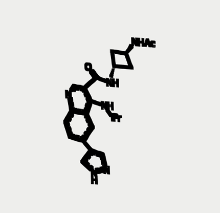 CC(=O)N[C@H]1C[C@H](NC(=O)c2cnc3ccc(-c4cn[nH]c4)cc3c2NC(C)C)C1